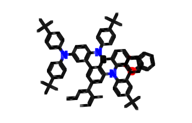 C=C/C=C(\C(C)=C/C)c1cc2c3c(c1)N(c1ccc(C(C)(C)C)cc1-c1ccccc1)c1c(ccc4c1oc1ccccc14)B3N(c1ccc(C(C)(C)C)cc1)c1ccc(N(c3ccc(C(C)(C)C)cc3)c3ccc(C(C)(C)C)cc3)cc1-2